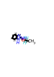 CC(F)(F)C(F)(F)ONc1nc2ccccc2[nH]1